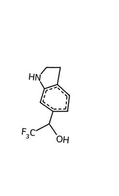 OC(c1ccc2c(c1)NCC2)C(F)(F)F